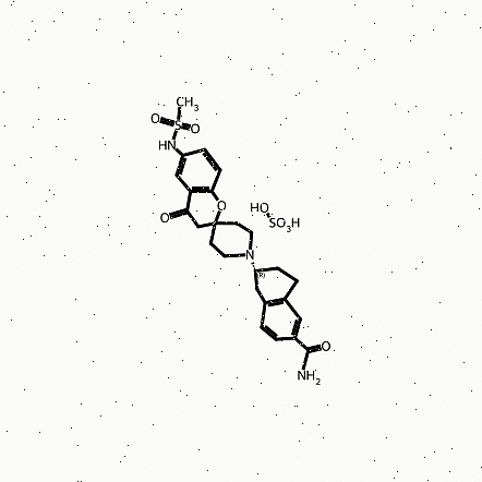 CS(=O)(=O)Nc1ccc2c(c1)C(=O)CC1(CCN([C@@H]3CCc4cc(C(N)=O)ccc4C3)CC1)O2.O=S(=O)(O)O